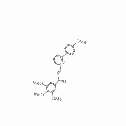 COc1ccc(-c2cccc(C=CC(=O)c3cc(OC)c(OC)c(OC)c3)n2)cc1